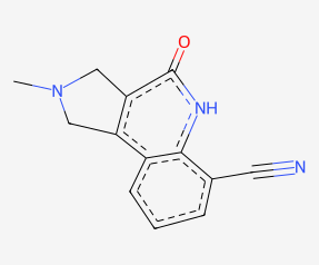 CN1Cc2c(c3cccc(C#N)c3[nH]c2=O)C1